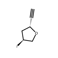 C#C[C@H]1C[C@H](I)CO1